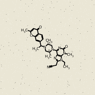 CCn1c(CC#N)nc2c(N3C[C@@H](C)N(C(C)c4ccc5c(=O)cc(C)oc5c4)C[C@@H]3C)nc(=O)n(C)c21